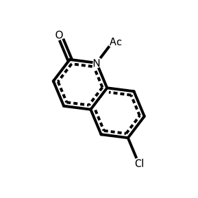 CC(=O)n1c(=O)ccc2cc(Cl)ccc21